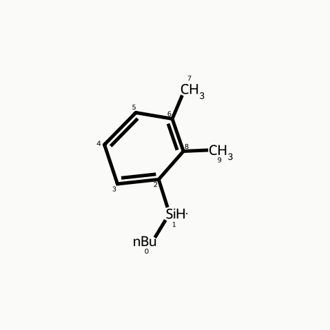 CCCC[SiH]c1cccc(C)c1C